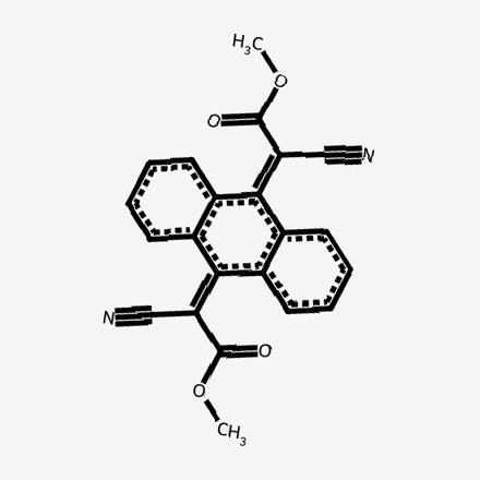 COC(=O)C(C#N)=c1c2ccccc2c(=C(C#N)C(=O)OC)c2ccccc12